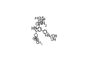 CCS(=O)(=O)N1CCC(c2c[nH]c3c(C(N)=O)cc(-c4ccc(CNC(CO)CO)cc4)cc23)CC1.O=C(O)C(F)(F)F